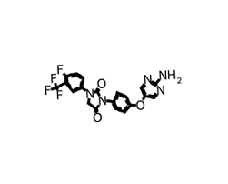 Nc1ncc(Oc2ccc(N3C(=O)CN(c4ccc(F)c(C(F)(F)F)c4)C3=O)cc2)cn1